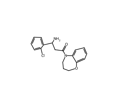 NC(CC(=O)N1CCCOc2ccccc21)c1ccccc1Cl